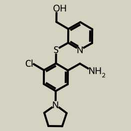 NCc1cc(N2CCCC2)cc(Cl)c1Sc1ncccc1CO